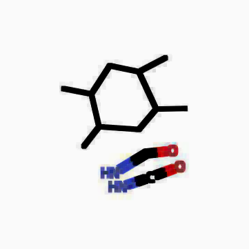 CC1CC(C)C(C)CC1C.N=C=O.N=C=O